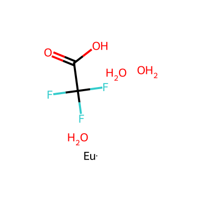 O.O.O.O=C(O)C(F)(F)F.[Eu]